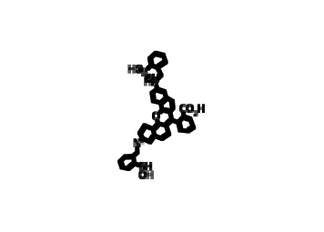 O=C(O)c1ccccc1-c1c2ccc3cc(NCc4ccccc4B(O)O)ccc3c2oc2c1ccc1c/c(=N\Cc3ccccc3BO)ccc12